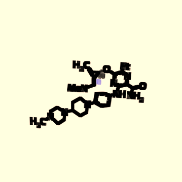 C=C1/C(=C\NC)[C@H]1Oc1nc(Nc2ccc(N3CCC(N4CCN(C)CC4)CC3)cc2)c(C(N)=O)nc1CC